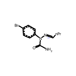 CCC/C=N/N(C(N)=O)c1ccc(Br)cc1